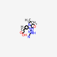 CC(C)CN(c1ccc(C(C)CC(=O)O)cc1Nc1n[nH]c(C#N)n1)C1CCOCC1